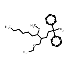 CCCCCCC(OC)C(CCC(C)(c1ccccc1)c1ccccc1)COCC